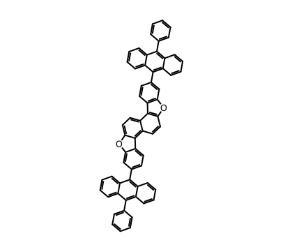 c1ccc(-c2c3ccccc3c(-c3ccc4c(c3)oc3ccc5c(ccc6oc7cc(-c8c9ccccc9c(-c9ccccc9)c9ccccc89)ccc7c65)c34)c3ccccc23)cc1